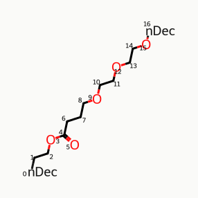 CCCCCCCCCCCCOC(=O)CCCOCCOCCOCCCCCCCCCC